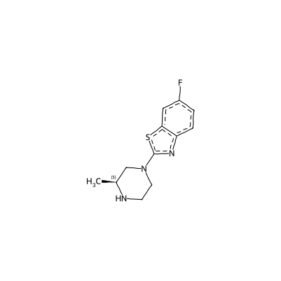 C[C@H]1CN(c2nc3ccc(F)cc3s2)CCN1